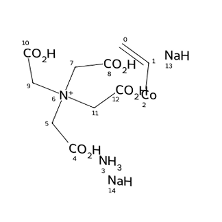 C=[CH][Co].N.O=C(O)C[N+](CC(=O)O)(CC(=O)O)CC(=O)O.[NaH].[NaH]